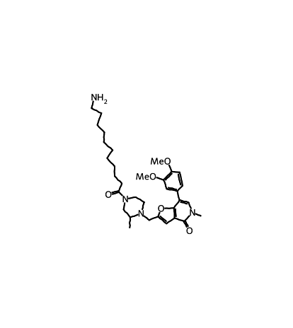 COc1ccc(-c2cn(C)c(=O)c3cc(CN4CCN(C(=O)CCCCCCCCCCN)CC4C)oc23)cc1OC